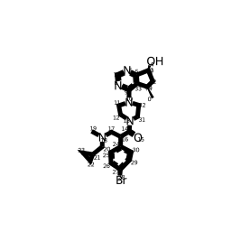 C[C@@H]1C[C@H](O)c2ncnc(N3CCN(C(=O)C(CN(C)CC4CC4)c4ccc(Br)cc4)CC3)c21